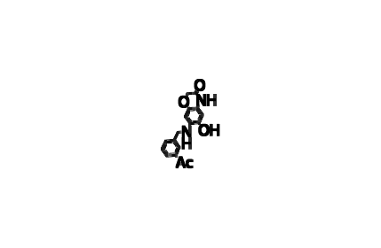 CC(=O)c1cccc(CNc2cc3c(cc2O)NC(=O)CO3)c1